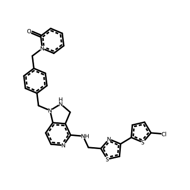 O=c1ccccn1Cc1ccc(CN2NCc3c2ccnc3NCc2nc(-c3ccc(Cl)s3)cs2)cc1